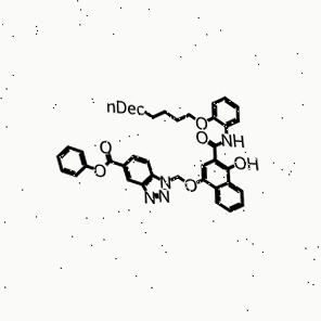 CCCCCCCCCCCCCCOc1ccccc1NC(=O)c1cc(OCn2nnc3cc(C(=O)Oc4ccccc4)ccc32)c2ccccc2c1O